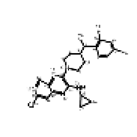 Fc1ccc(C(F)C2CCN(c3nc4cnc(Cl)cc4nc3NC3CC3)CC2)c(F)c1